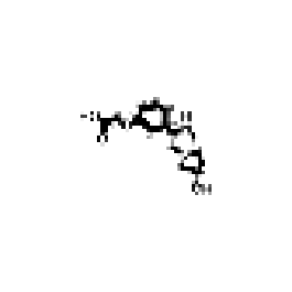 CN[C@H](CN1CC[C@H](O)C1)c1cccc(OCC(=O)O)c1